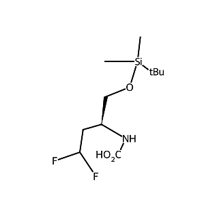 CC(C)(C)[Si](C)(C)OC[C@H](CC(F)F)NC(=O)O